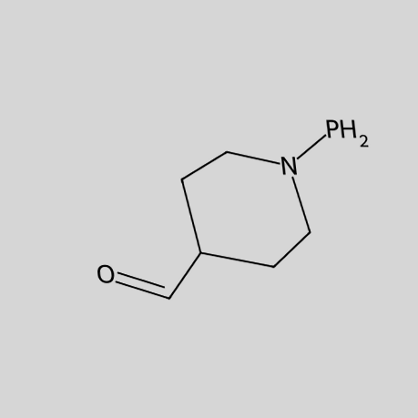 O=CC1CCN(P)CC1